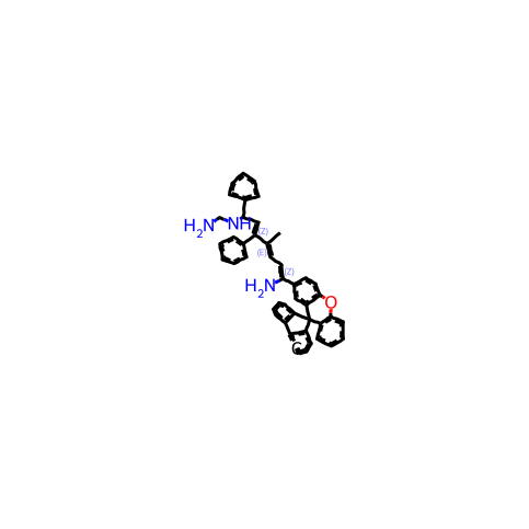 CC(=C\C=C(/N)c1ccc2c(c1)C1(c3ccccc3O2)c2ccccc2-c2ccccc21)/C(=C/C(NCN)c1ccccc1)c1ccccc1